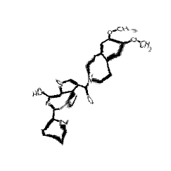 COc1cc2c(cc1OC)CCN(C(=O)c1csc3c(O)nc(-c4ccccn4)nc13)CC2